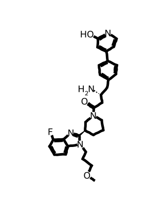 COCCCn1c([C@@H]2CCCN(C(=O)C[C@H](N)Cc3ccc(-c4ccnc(O)c4)cc3)C2)nc2c(F)cccc21